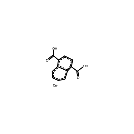 O=C(O)c1ccc(C(=O)O)c2ccccc12.[Cu]